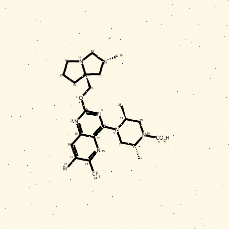 C[C@@H]1CN(c2nc(OC[C@@]34CCCN3C[C@H](F)C4)nc3cc(Br)c(C(F)(F)F)nc23)[C@@H](C)CN1C(=O)O